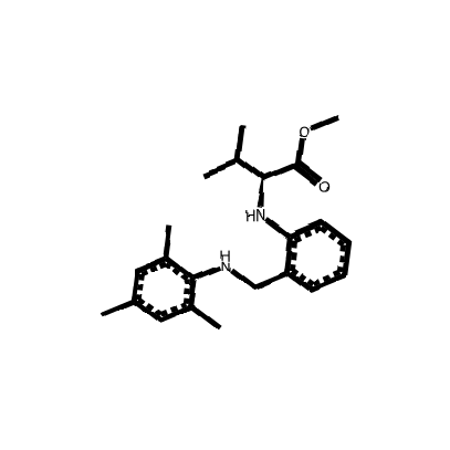 COC(=O)[C@@H](Nc1ccccc1CNc1c(C)cc(C)cc1C)C(C)C